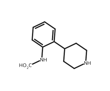 O=C(O)Nc1ccccc1C1CCNCC1